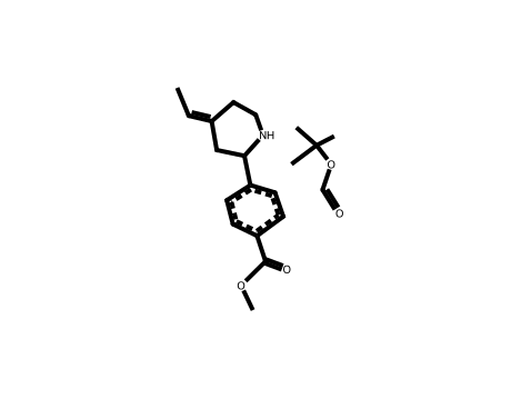 CC(C)(C)OC=O.CC=C1CCNC(c2ccc(C(=O)OC)cc2)C1